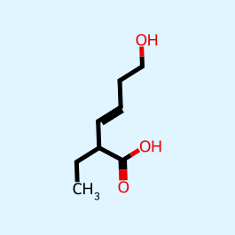 CCC(C=CCCO)C(=O)O